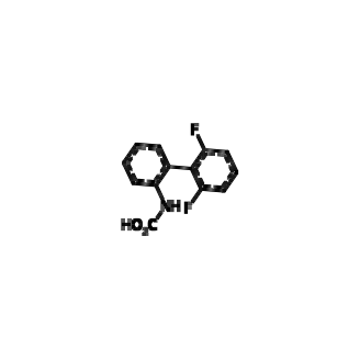 O=C(O)Nc1ccccc1-c1c(F)cccc1F